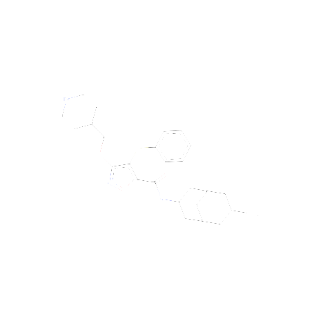 CC1CC2CC(C1)CC(NC(=O)c1onc(OCC3CCNCC3)c1Sc1ccccc1)C2